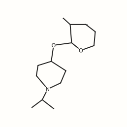 CC1[CH]CCOC1OC1CCN(C(C)C)CC1